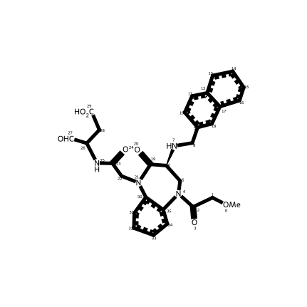 COCC(=O)N1C[C@H](NCc2ccc3ccccc3c2)C(=O)N(CC(=O)NC(C=O)CC(=O)O)c2ccccc21